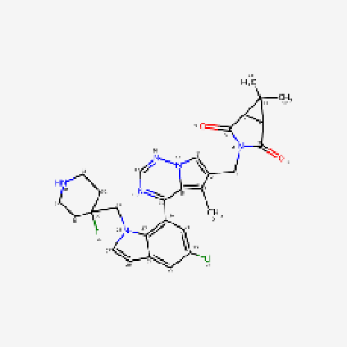 Cc1c(CN2C(=O)C3C(C2=O)C3(C)C)cn2ncnc(-c3cc(Cl)cc4ccn(CC5(F)CCNCC5)c34)c12